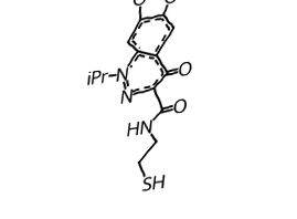 CC(C)n1nc(C(=O)NCCS)c(=O)c2cc3c(cc21)OCO3